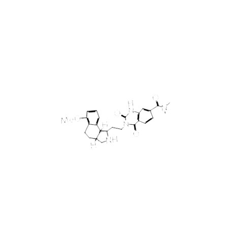 COc1cccc2c1CC[C@H]1CNC(CCn3c(=O)[nH]c4cc(C(=O)N(C)C)ccc4c3=O)[C@@H]21